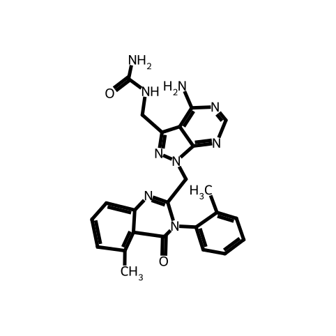 Cc1ccccc1-n1c(Cn2nc(CNC(N)=O)c3c(N)ncnc32)nc2cccc(C)c2c1=O